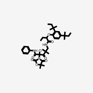 CCC(Oc1ccc(C(C)(C)CC)cc1C(C)(C)CC)C(=O)NCC(C)(C)C(=O)C(Cl)(C(=O)Nc1ccccc1)N1C(=O)OC(C)(C)C1=O